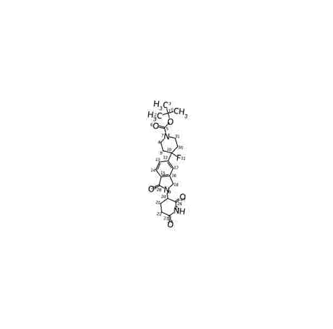 CC(C)(C)OC(=O)N1CCC(F)(c2ccc3c(c2)CN(C2CCC(=O)NC2=O)C3=O)CC1